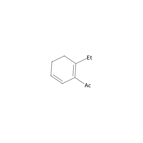 CCC1=C(C(C)=O)C=CCC1